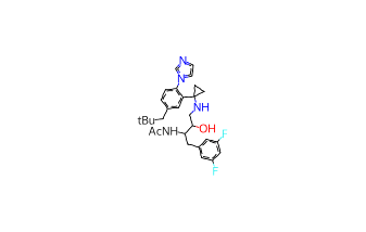 CC(=O)NC(Cc1cc(F)cc(F)c1)C(O)CNC1(c2cc(CC(C)(C)C)ccc2-n2ccnc2)CC1